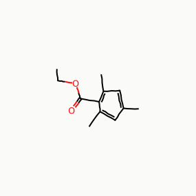 CCOC(=O)c1c(C)cc(C)cc1C